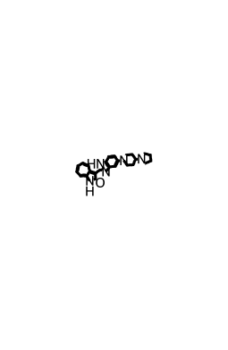 O=c1[nH]c2cccccc-2c1-c1nc2cc(N3CCC(N4CCCC4)CC3)ccc2[nH]1